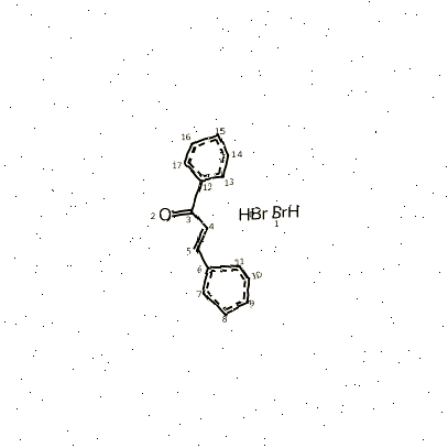 Br.Br.O=C(C=Cc1ccccc1)c1ccccc1